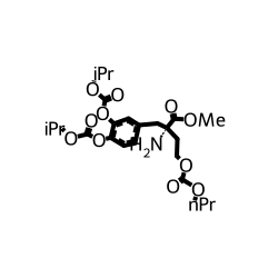 CCCOC(=O)OCC[C@@](N)(Cc1ccc(OC(=O)OC(C)C)c(OC(=O)OC(C)C)c1)C(=O)OC